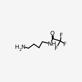 NCCCCNC(=O)C(F)(F)F